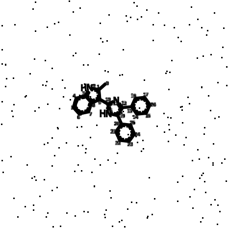 Cc1[nH]c2ccccc2c1-c1nc(-c2ccccc2)c(-c2ccccc2)[nH]1